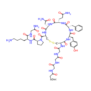 CCCCCCCCCCCC(=O)NCC(=O)NCC(=O)NCC(=O)N[C@H]1CSSC[C@@H](C(=O)N2CCC[C@H]2C(=O)N[C@@H](CCCCN)C(=O)NCC(N)=O)NC(=O)[C@H](CC(N)=O)NC(=O)[C@H](CCC(N)=O)NC(=O)[C@H](Cc2ccccc2)NC(=O)[C@@H](Cc2ccc(O)cc2)NC1=O